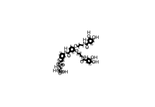 O=C(NCCCOc1ccc(C(=O)Nc2ccc3sc(S(=O)(=O)NCP(=O)(O)O)cc3c2)cc1OCCCNC(=O)c1ccc(O)c(O)c1)c1ccc(O)c(O)c1